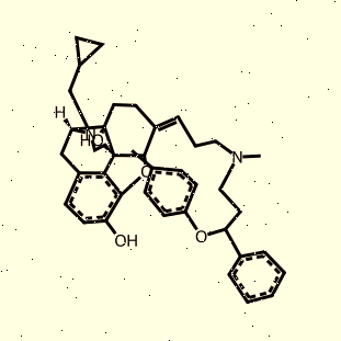 Cc1ccc(OC(CCN(C)CC/C=C2/CC[C@@]3(O)[C@H]4Cc5ccc(O)c6c5[C@@]3(CCN4CC3CC3)C2O6)c2ccccc2)cc1